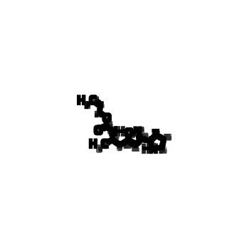 C=CCOC(=O)NC(C)Cc1cc(C2CCCN2)no1